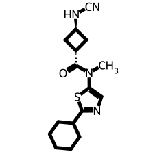 CN(c1cnc(C2CCCCC2)s1)C(=O)[C@H]1C[C@H](NC#N)C1